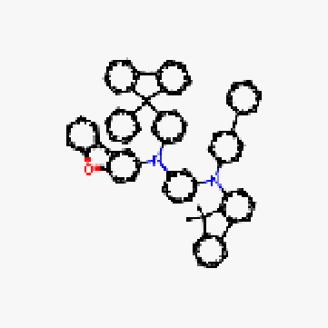 CC1(C)c2ccccc2-c2cccc(N(c3ccc(-c4ccccc4)cc3)c3cccc(N(c4cccc(C5(c6ccccc6)c6ccccc6-c6ccccc65)c4)c4ccc5oc6ccccc6c5c4)c3)c21